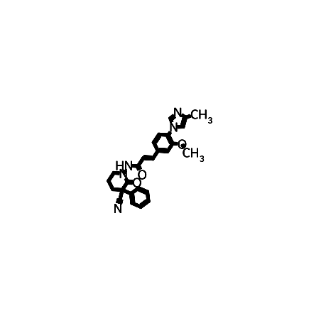 COc1cc(C=CC(=O)NN2CCCC(C#N)(c3ccccc3)C2=O)ccc1-n1cnc(C)c1